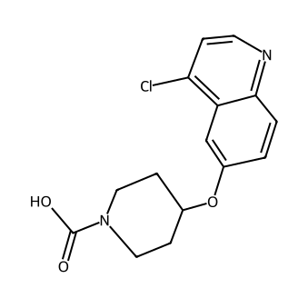 O=C(O)N1CCC(Oc2ccc3nccc(Cl)c3c2)CC1